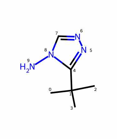 CC(C)(C)c1nncn1N